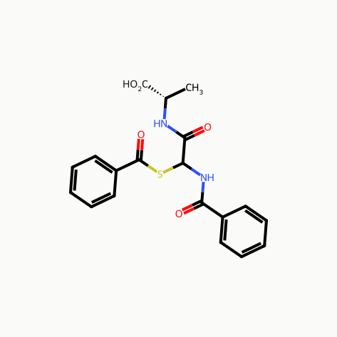 C[C@H](NC(=O)C(NC(=O)c1ccccc1)SC(=O)c1ccccc1)C(=O)O